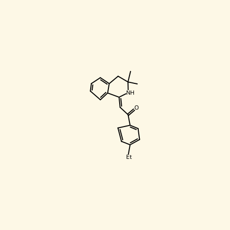 CCc1ccc(C(=O)C=C2NC(C)(C)Cc3ccccc32)cc1